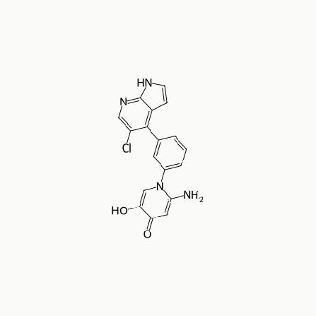 Nc1cc(=O)c(O)cn1-c1cccc(-c2c(Cl)cnc3[nH]ccc23)c1